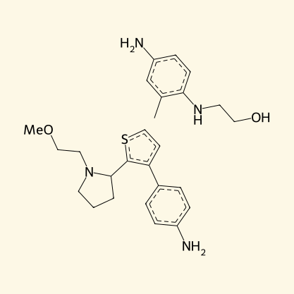 COCCN1CCCC1c1sccc1-c1ccc(N)cc1.Cc1cc(N)ccc1NCCO